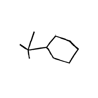 CC(C)(C)C1[CH]CC[CH]C1